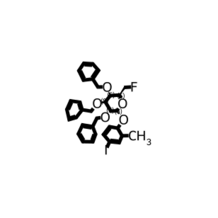 CC1C=C(I)C=CC1O[C@H]1O[C@H](CF)[C@@H](OCc2ccccc2)[C@H](OCc2ccccc2)[C@@H]1OCc1ccccc1